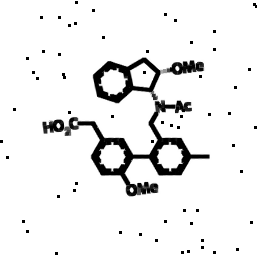 COc1ccc(CC(=O)O)cc1-c1ccc(C)cc1CN(C(C)=O)[C@@H]1c2ccccc2C[C@@H]1OC